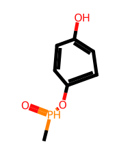 C[PH](=O)Oc1ccc(O)cc1